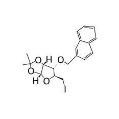 CC1(C)O[C@H]2O[C@H](CI)[C@@H](OCc3ccc4ccccc4c3)[C@H]2O1